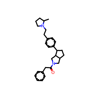 CC1CCCN1CCc1ccc(C2CCC3CN(C(=O)Cc4ccccc4)CC32)cc1